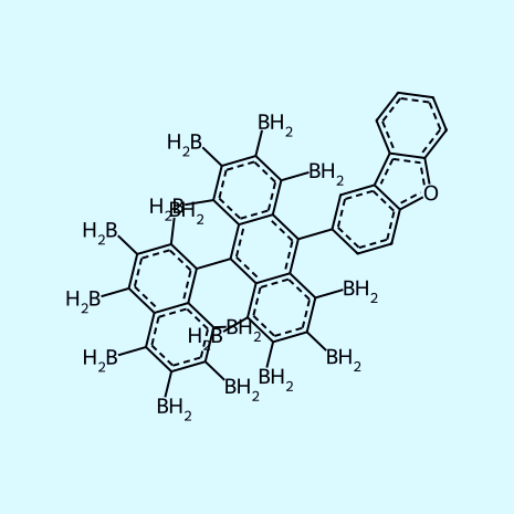 Bc1c(B)c(B)c2c(-c3c4c(B)c(B)c(B)c(B)c4c(-c4ccc5oc6ccccc6c5c4)c4c(B)c(B)c(B)c(B)c34)c(B)c(B)c(B)c2c1B